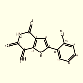 N=C1C(=O)NC(=O)c2cc(-c3ccccc3Cl)sc21